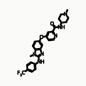 CN1CCC(NC(=O)c2cc(Oc3ccc4c(c3)nc(Nc3ccc(C(F)(F)F)cc3)n4C)ccn2)CC1